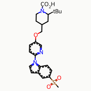 CC(C)(C)C1CC(COc2ccc(-n3ccc4cc(S(C)(=O)=O)ccc43)nc2)CCN1C(=O)O